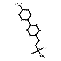 CC1CCC(C2CCC(CCC(C)(F)F)CC2)CC1